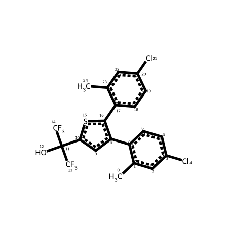 Cc1cc(Cl)ccc1-c1cc(C(O)(C(F)(F)F)C(F)(F)F)sc1-c1ccc(Cl)cc1C